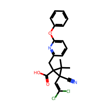 CC1(C)C(C#N)(C=C(Cl)Cl)C1(Cc1cccc(Oc2ccccc2)n1)C(=O)O